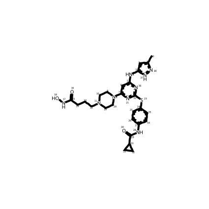 Cc1cc(Nc2cc(N3CCN(CCCC(=O)NO)CC3)nc(Sc3ccc(NC(=O)C4CC4)cc3)n2)[nH]n1